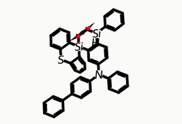 c1ccc(-c2ccc(N(c3ccccc3)c3ccc4c(c3)[Si]3(c5ccccc5Sc5ccccc53)c3ccccc3[SiH]4c3ccccc3)cc2)cc1